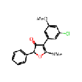 CNC1=C(c2cc(Cl)cc(OC)c2)C(=O)C(c2ccccc2)O1